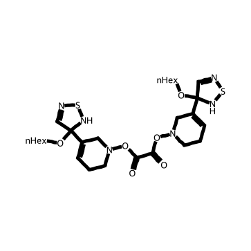 CCCCCCOC1(C2=CCCN(OC(=O)C(=O)ON3CCC=C(C4(OCCCCCC)C=NSN4)C3)C2)C=NSN1